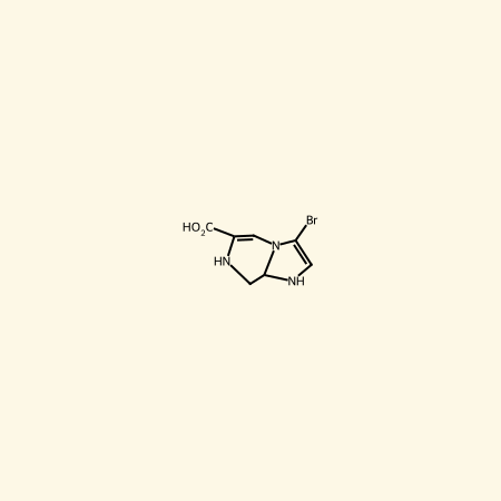 O=C(O)C1=CN2C(Br)=CNC2CN1